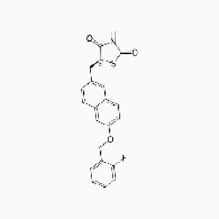 O=C1NC(=O)[C@H](Cc2ccc3cc(OCc4ccccc4F)ccc3c2)S1